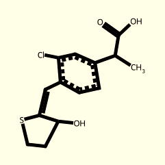 CC(C(=O)O)c1ccc(/C=C2/SCCC2O)c(Cl)c1